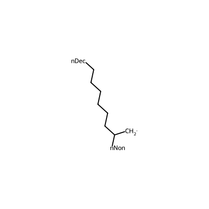 [CH2]C(CCCCCCCCC)CCCCCCCCCCCCCCCC